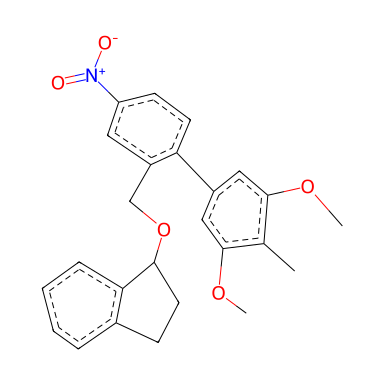 COc1cc(-c2ccc([N+](=O)[O-])cc2COC2CCc3ccccc32)cc(OC)c1C